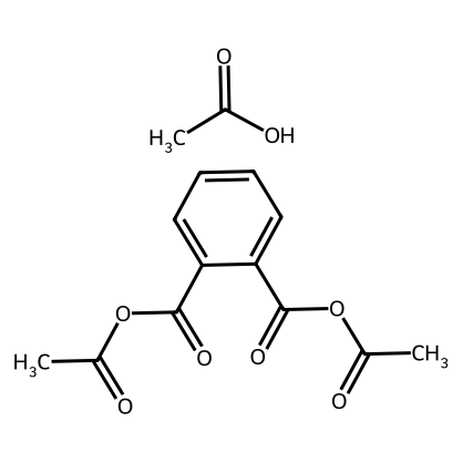 CC(=O)O.CC(=O)OC(=O)c1ccccc1C(=O)OC(C)=O